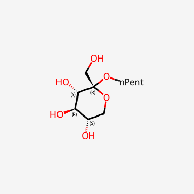 CCCCCO[C@]1(CO)OC[C@H](O)[C@@H](O)[C@@H]1O